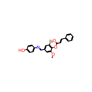 COc1cc(/C=N/c2ccc(O)cc2)cc(Br)c1OC(=O)C=Cc1ccccc1